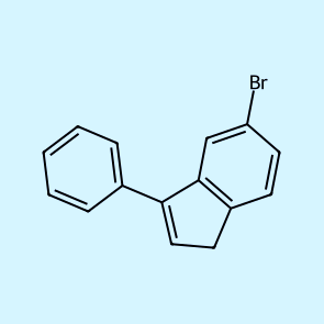 Brc1ccc2c(c1)C(c1ccccc1)=CC2